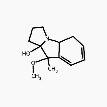 COC1(C)C2=CC=CCC2N2CCCC21O